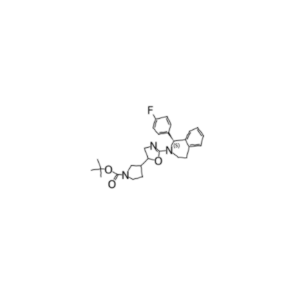 CC(C)(C)OC(=O)N1CCC(C2CN=C(N3CCc4ccccc4[C@@H]3c3ccc(F)cc3)O2)C1